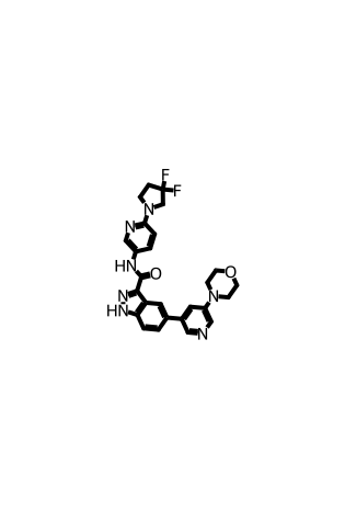 O=C(Nc1ccc(N2CCC(F)(F)C2)nc1)c1n[nH]c2ccc(-c3cncc(N4CCOCC4)c3)cc12